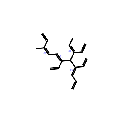 C=C/C=C(\C=C)C(/C(C=C)=C/C)/C(C=C)=C/C=C(/C)C=C